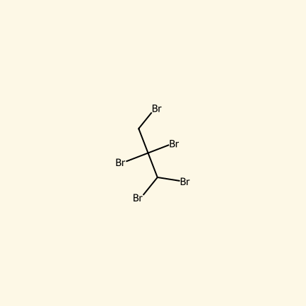 BrCC(Br)(Br)C(Br)Br